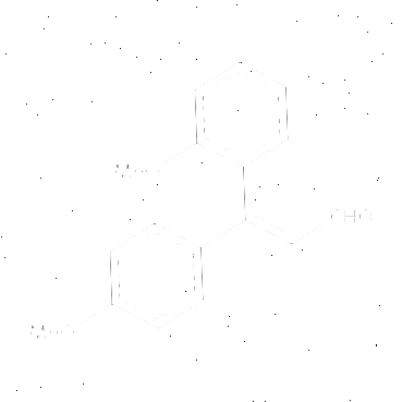 COc1ccc(C(=CC=O)c2ccccc2OC)cc1